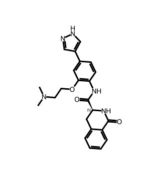 CN(C)CCOc1cc(-c2cn[nH]c2)ccc1NC(=O)[C@@H]1Cc2ccccc2C(=O)N1